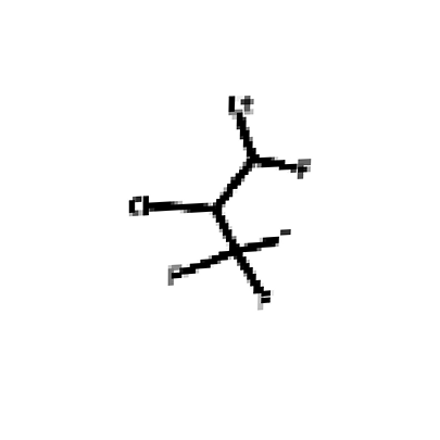 CCC(F)C(Cl)C(F)(F)F